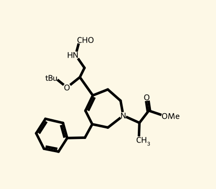 COC(=O)C(C)N1CCC(C(CNC=O)OC(C)(C)C)=CC(Cc2ccccc2)C1